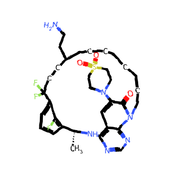 C[C@H]1Nc2ncnc3c2cc(N2CCS(=O)(=O)CC2)c(=O)n3CCCCCCCCC(CCN)CCC(F)(F)c2cccc1c2F